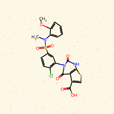 COc1ccccc1N(C)S(=O)(=O)c1ccc(Cl)c(-n2c(=O)[nH]c3scc(C(=O)O)c3c2=O)c1